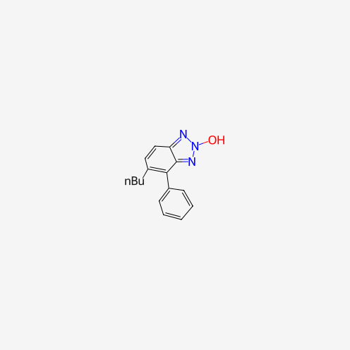 CCCCc1ccc2nn(O)nc2c1-c1ccccc1